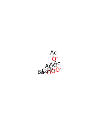 CC(=O)[O-].CC(=O)[O-].CC(=O)[O-].CC(=O)[O-].[Ba+2].[Cd+2]